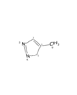 CC1=CN=NC1